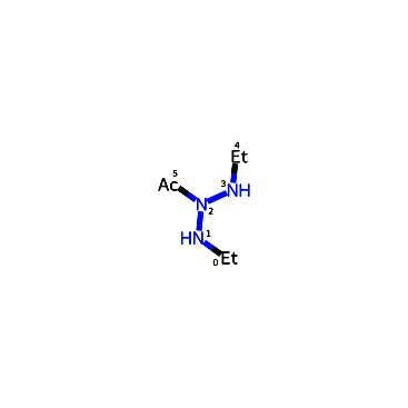 CCNN(NCC)C(C)=O